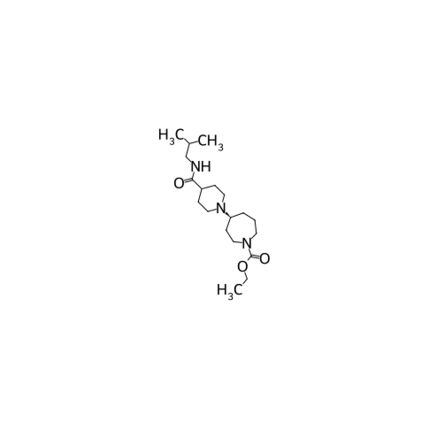 CCOC(=O)N1CCC[C@H](N2CCC(C(=O)NCC(C)C)CC2)CC1